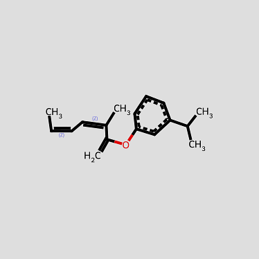 C=C(Oc1cccc(C(C)C)c1)/C(C)=C\C=C/C